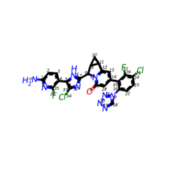 Nc1ccc(-c2[nH]c(C3C4CC4c4cc(-c5c(-n6cnnn6)ccc(Cl)c5F)cc(=O)n43)nc2Cl)c(F)n1